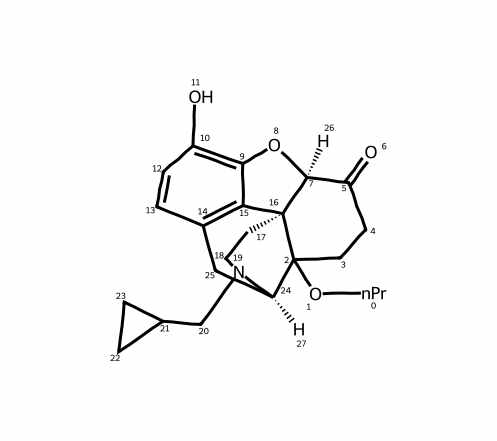 CCCOC12CCC(=O)[C@@H]3Oc4c(O)ccc5c4[C@@]31CCN(CC1CC1)[C@@H]2C5